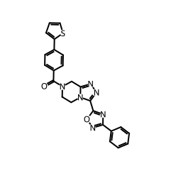 O=C(c1ccc(-c2cccs2)cc1)N1CCn2c(nnc2-c2nc(-c3ccccc3)no2)C1